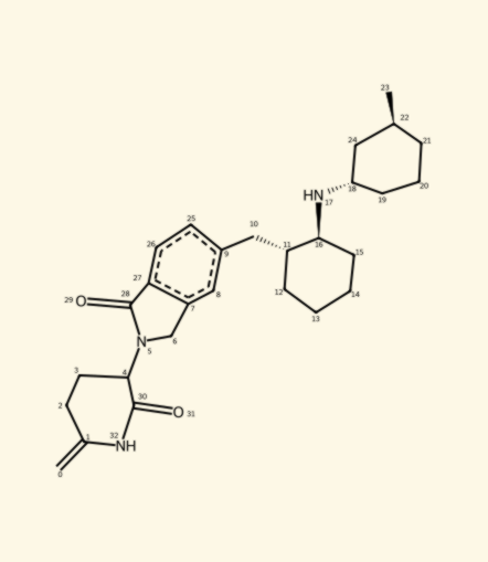 C=C1CCC(N2Cc3cc(C[C@H]4CCCC[C@@H]4N[C@H]4CCC[C@H](C)C4)ccc3C2=O)C(=O)N1